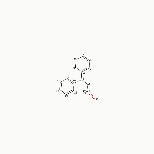 [O]=[Sn][CH2]C(c1ccccc1)c1ccccc1